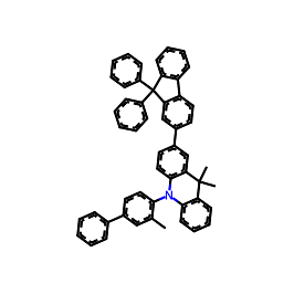 Cc1cc(-c2ccccc2)ccc1N1c2ccccc2C(C)(C)c2cc(-c3ccc4c(c3)C(c3ccccc3)(c3ccccc3)c3ccccc3-4)ccc21